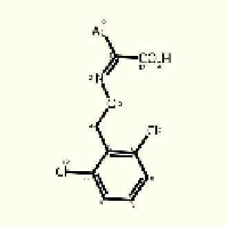 CC(=O)C(=NOCc1c(Cl)cccc1Cl)C(=O)O